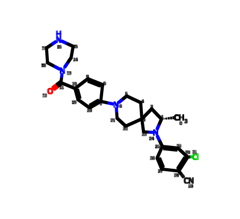 C[C@H]1CC2(CCN(c3ccc(C(=O)N4CCNCC4)cc3)CC2)CN1c1ccc(C#N)c(Cl)c1